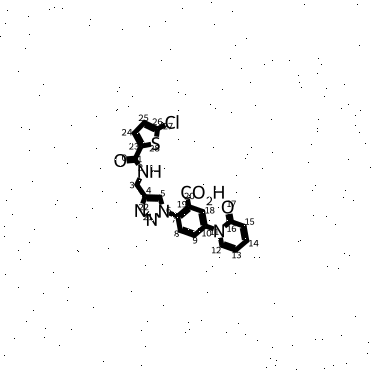 O=C(NCc1cn(-c2ccc(-n3ccccc3=O)cc2C(=O)O)nn1)c1ccc(Cl)s1